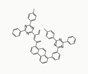 C=C/C(=C\C(=C)c1cccc2c1ccc1c(-c3cccc(-c4nc(-c5ccccc5)nc(-c5ccc(C)cc5)n4)c3)cccc12)c1nc(-c2ccccc2)nc(-c2ccc(C)cc2)n1